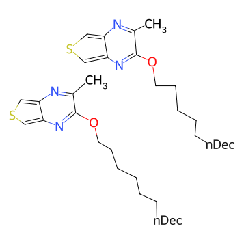 CCCCCCCCCCCCCCCCOc1nc2cscc2nc1C.CCCCCCCCCCCCCCCOc1nc2cscc2nc1C